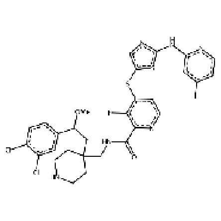 COC(CC1(CNC(=O)c2nccc(Sc3cnc(Nc4cc(C)ccn4)s3)c2F)CCNCC1)c1ccc(Cl)c(Cl)c1